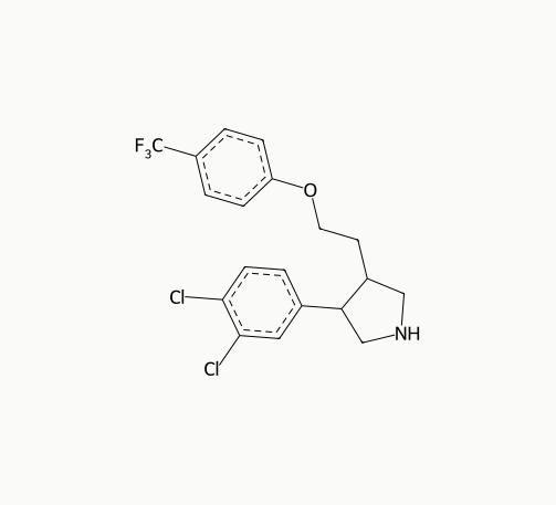 FC(F)(F)c1ccc(OCCC2CNCC2c2ccc(Cl)c(Cl)c2)cc1